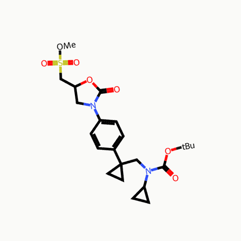 COS(=O)(=O)CC1CN(c2ccc(C3(CN(C(=O)OC(C)(C)C)C4CC4)CC3)cc2)C(=O)O1